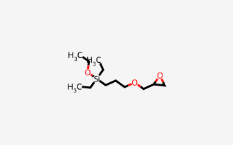 CCO[Si](CC)(CC)CCCOCC1CO1